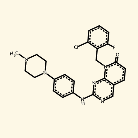 CN1CCN(c2ccc(Nc3ncc4ccc(=O)n(Cc5c(F)cccc5Cl)c4n3)cc2)CC1